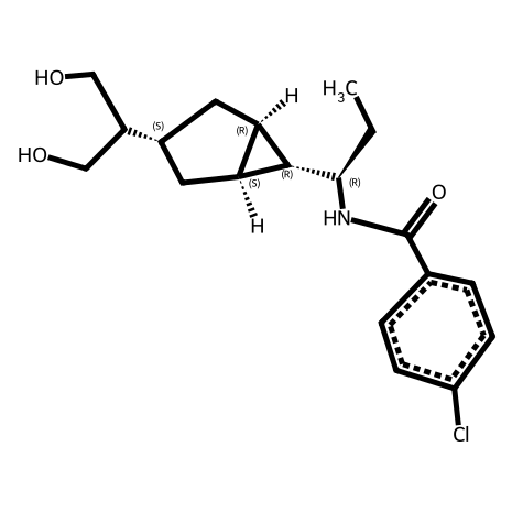 CC[C@@H](NC(=O)c1ccc(Cl)cc1)[C@H]1[C@@H]2C[C@@H](C(CO)CO)C[C@@H]21